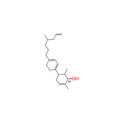 C=CCC(C)CCCC1=CC=C(C2CC=C(C)[C@H](O)C2C)CC1